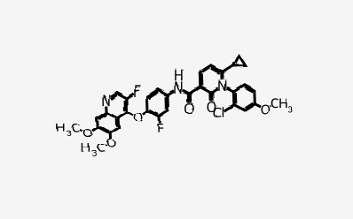 COc1ccc(-n2c(C3CC3)ccc(C(=O)Nc3ccc(Oc4c(F)cnc5cc(OC)c(OC)cc45)c(F)c3)c2=O)c(Cl)c1